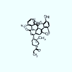 C=CC(=O)N1CCN(c2nc(=O)n(-c3c(C)ccnc3C(C)C)c3c2cc(Cl)c2c4c(F)ccc(O)c4oc(=O)c23)[C@@H](C)C1